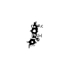 CC(=O)c1c(C)oc2ccc(NS(=O)(=O)c3ccc(F)cc3)cc12